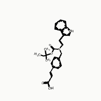 CC(C)(C)OC(=O)N(CCc1c[nH]c2ccccc12)Cc1ccc(/C=C/C(=O)O)cc1